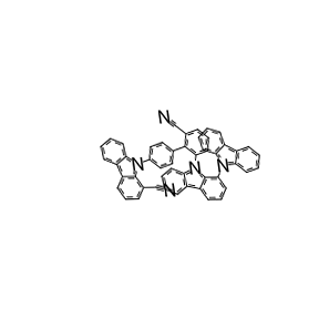 N#Cc1cccc(-n2c3ccccc3c3cccc(-n4c5ccccc5c5ccccc54)c32)c1-c1ccc(-n2c3ccccc3c3cccc(C#N)c32)cc1